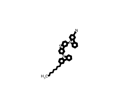 CCCCCCCCc1ccc2c(c1)c1ccccc1n2-c1ccc2sc3ccc(-n4c5ccccc5c5cc(C#N)ccc54)cc3c2c1